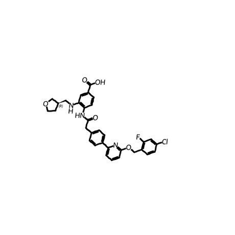 O=C(Cc1ccc(-c2cccc(OCc3ccc(Cl)cc3F)n2)cc1)Nc1ccc(C(=O)O)cc1NC[C@H]1CCOC1